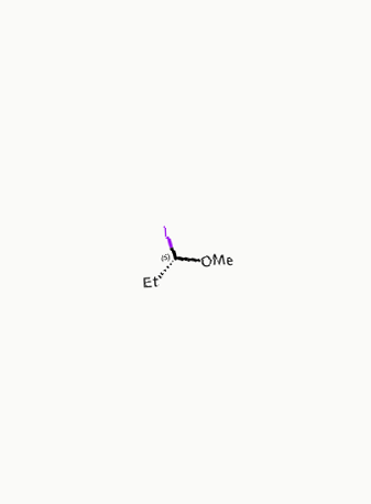 CC[C@H](I)OC